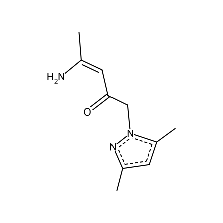 CC(N)=CC(=O)Cn1nc(C)cc1C